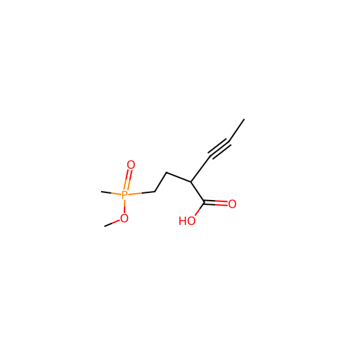 CC#CC(CCP(C)(=O)OC)C(=O)O